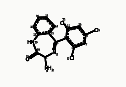 NC1N=C(c2c(Cl)cc(Cl)cc2Cl)c2ccccc2NC1=O